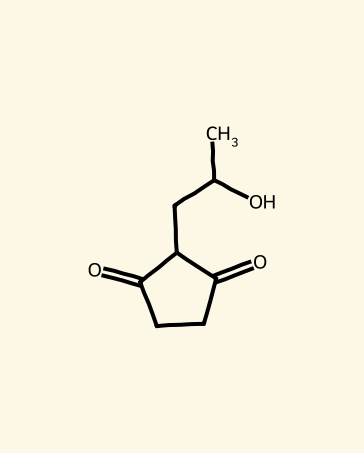 CC(O)CC1C(=O)CCC1=O